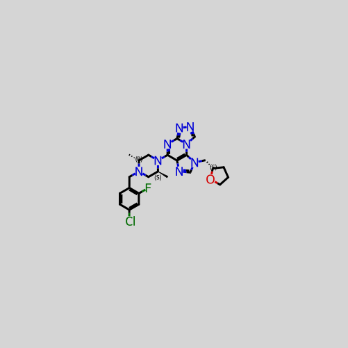 C[C@@H]1CN(c2nc3nncn3c3c2ncn3C[C@@H]2CCCO2)[C@@H](C)CN1Cc1ccc(Cl)cc1F